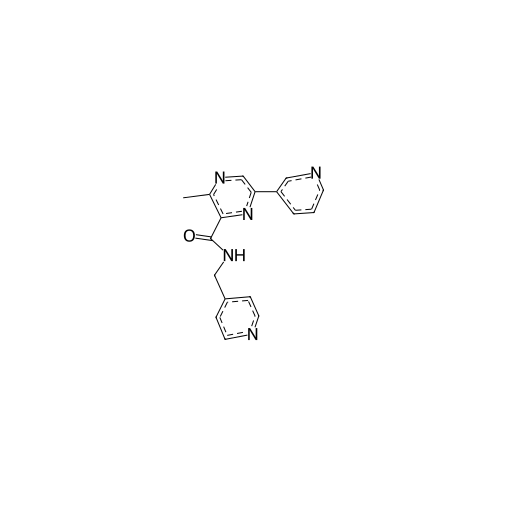 Cc1ncc(-c2cccnc2)nc1C(=O)NCc1ccncc1